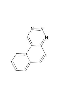 c1ccc2c(c1)ccc1nnncc12